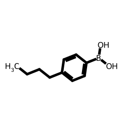 CCCCc1ccc(B(O)O)cc1